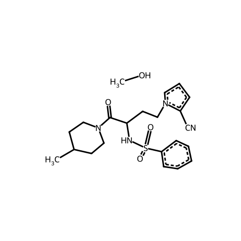 CC1CCN(C(=O)C(CCn2cccc2C#N)NS(=O)(=O)c2ccccc2)CC1.CO